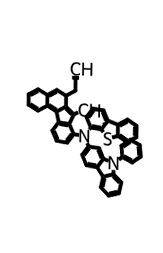 C#CCC1C=c2ccccc2=C2C1=C(C)c1c2cccc1N(c1ccc2c3ccccc3n(-c3ccccc3)c2c1)c1cccc2c1sc1ccccc12